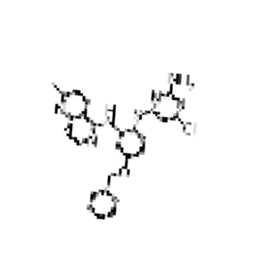 Cc1ccc2c(Nc3cc(OCc4ccccc4)ccc3Sc3cc(Cl)nc(N)n3)ncnc2n1